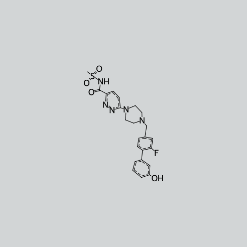 CS(=O)(=O)NC(=O)c1ccc(N2CCN(Cc3ccc(-c4cccc(O)c4)c(F)c3)CC2)nn1